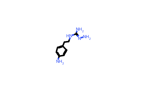 NN=C(N)NCCc1ccc(N)cc1